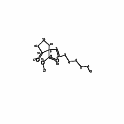 CCCCCCC=CC1(C(=O)OC)CCCC1=O